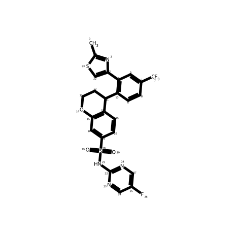 Cc1nc(-c2cc(C(F)(F)F)ccc2C2CCOc3cc(S(=O)(=O)Nc4ncc(F)cn4)ccc32)cs1